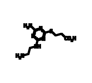 NCCNc1nc(N)nc(SCCC(=O)O)n1